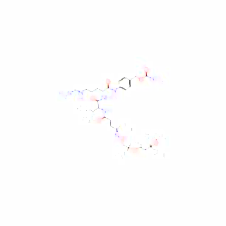 COC(C)(C)CCOC(C)(C)CO/N=C(\C)CCC(=O)NC(C(=O)NC(CCCNCN)C(=O)Nc1ccc(COC(N)=O)cc1)C(C)C